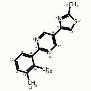 Cc1nc(-c2cnc(-c3cccc(C)c3C)nc2)cs1